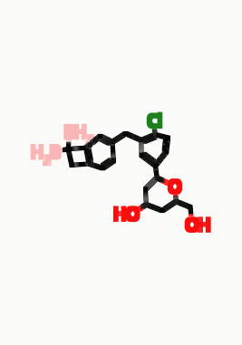 BC1(B)Cc2ccc(Cc3cc(C4CC(O)CC(CO)O4)ccc3Cl)cc21